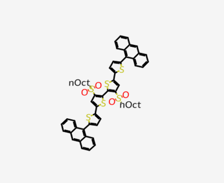 CCCCCCCCS(=O)(=O)c1cc(-c2ccc(-c3c4ccccc4cc4ccccc34)s2)sc1-c1sc(-c2ccc(-c3c4ccccc4cc4ccccc34)s2)cc1S(=O)(=O)CCCCCCCC